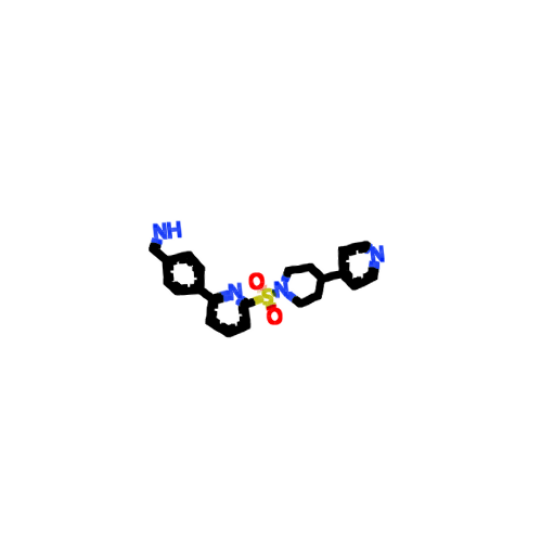 N=Cc1ccc(-c2cccc(S(=O)(=O)N3CCC(c4ccncc4)CC3)n2)cc1